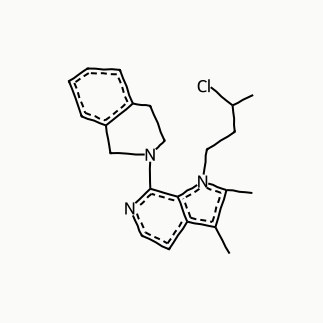 Cc1c(C)n(CCC(C)Cl)c2c(N3CCc4ccccc4C3)nccc12